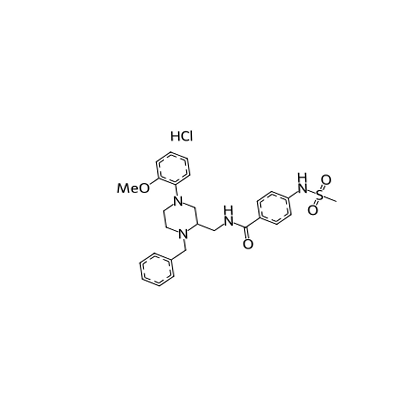 COc1ccccc1N1CCN(Cc2ccccc2)C(CNC(=O)c2ccc(NS(C)(=O)=O)cc2)C1.Cl